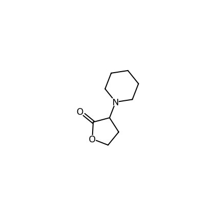 O=C1OCCC1N1CCCCC1